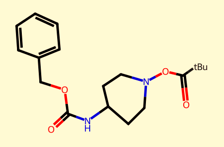 CC(C)(C)C(=O)ON1CCC(NC(=O)OCc2ccccc2)CC1